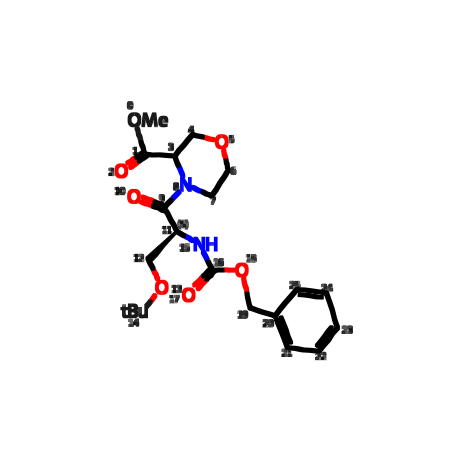 COC(=O)C1COCCN1C(=O)[C@H](COC(C)(C)C)NC(=O)OCc1ccccc1